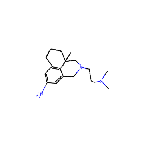 CN(C)CCN1Cc2cc(N)cc3c2C(C)(CCC3)C1